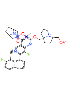 C#Cc1c(F)ccc2cccc(-c3ncc4c(N5CC6CCC(C5)N6C(=O)OC(C)(C)C)nc(OC[C@]56CCCN5[C@@H](CO)CC6)nc4c3F)c12